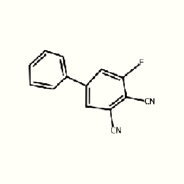 N#Cc1cc(-c2ccccc2)cc(F)c1C#N